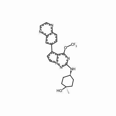 C[C@]1(O)CC[C@@H](Nc2nc(OC(F)(F)F)c3c(-c4ccc5nccnc5c4)ccn3n2)CC1